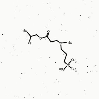 CCCCC(CC)COC(=O)CCN(CCCC)CCC[N+](C)(C)CCCC